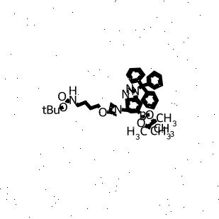 CC(C)(C)OC(=O)NCCCCOC1CN(c2cc(B3OC(C)(C)C(C)(C)O3)cc3c2nnn3C(c2ccccc2)(c2ccccc2)c2ccccc2)C1